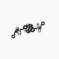 CC(C)(CCC1CCCCC1)C(=O)NCCc1ccc(F)[c]([Ti]([C]2=CC=CC2)([C]2=CC=CC2)[c]2c(F)ccc(CCNC(=O)C(C)(C)CCC3CCCCC3)c2F)c1F